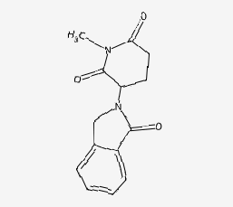 CN1C(=O)CCC(N2Cc3ccccc3C2=O)C1=O